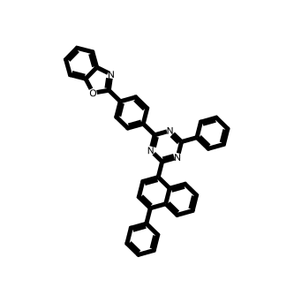 c1ccc(-c2nc(-c3ccc(-c4nc5ccccc5o4)cc3)nc(-c3ccc(-c4ccccc4)c4ccccc34)n2)cc1